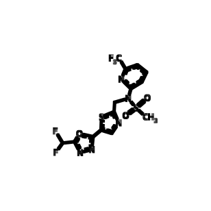 CS(=O)(=O)N(Cc1ncc(-c2nnc(C(F)F)o2)s1)c1cccc(C(F)(F)F)n1